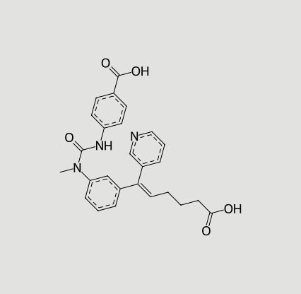 CN(C(=O)Nc1ccc(C(=O)O)cc1)c1cccc(/C(=C/CCCC(=O)O)c2cccnc2)c1